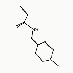 CCC(=O)NCC1CCN(I)CC1